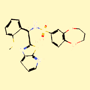 CSc1ccccc1[C@@H](NS(=O)(=O)c1ccc2c(c1)OCCCO2)c1nc2cccnc2s1